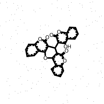 O=c1oc2ccccc2c(O)c1C1c2c(c3ccccc3oc2=O)Oc2c1c(=O)oc1ccccc21